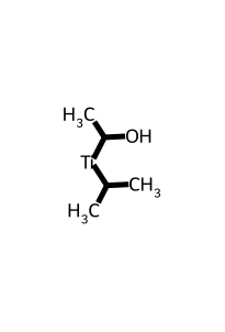 C[CH](C)[Ti][CH](C)O